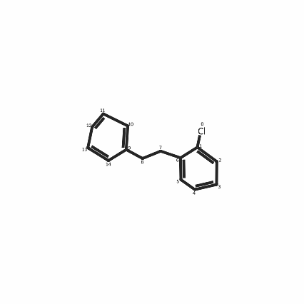 Clc1ccccc1CCc1ccccc1